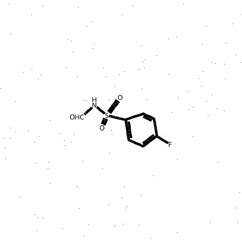 O=CNS(=O)(=O)c1ccc(F)cc1